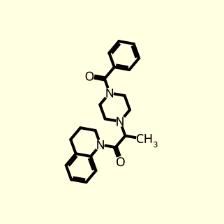 CC(C(=O)N1CCCc2ccccc21)N1CCN(C(=O)c2ccccc2)CC1